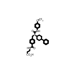 O=C(O)CCNC(=O)c1ccc(CN(C(=O)Nc2ccc(OC(F)(F)F)cc2)C2CCC(c3ccccc3)CC2)cc1